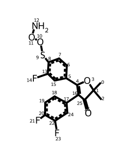 CC1(C)OC(c2ccc(SOON)c(F)c2)=C(c2ccc(F)c(F)c2)C1=O